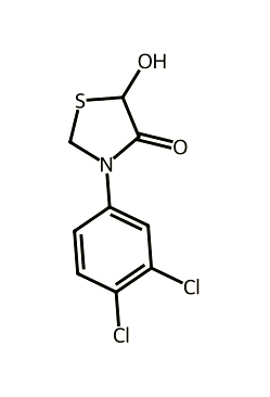 O=C1C(O)SCN1c1ccc(Cl)c(Cl)c1